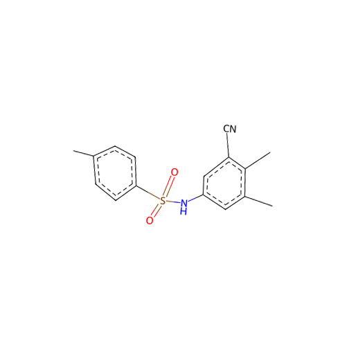 Cc1ccc(S(=O)(=O)Nc2cc(C)c(C)c(C#N)c2)cc1